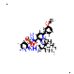 CC(C)Oc1cccc(-c2ccc(C(=O)NS(=O)(=O)c3cccnc3N)c(N3CCC(C)C3(C)C)n2)c1